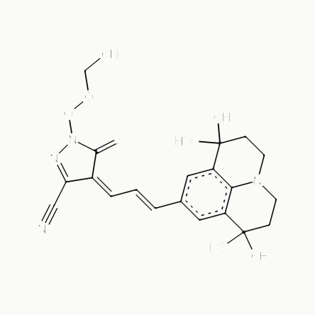 CCOON1N=C(C#N)/C(=C/C=C/c2cc3c4c(c2)C(C)(C)CCN4CCC3(C)C)C1=S